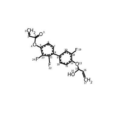 C=CC(=O)Oc1ccc(-c2ccc(OC(O)C=C)c(F)c2)c(F)c1F